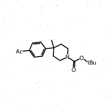 CC(=O)c1ccc(C2(C)CCN(C(=O)OC(C)(C)C)CC2)cc1